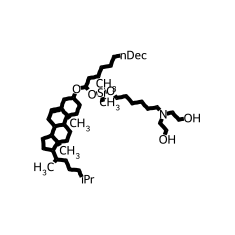 CCCCCCCCCCCCCCCC(OC1CCC2(C)C(=CCC3C2CCC2(C)C(C(C)CCCC(C)C)CCC32)C1)O[Si](C)(C)OCCCCCCN(CCO)CCO